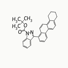 CC(C)(C)OC(=O)n1nc(-c2cccc3c2ccc2c4c(ccc23)CCCC4)c2ccccc21